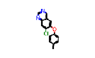 Cc1ccc(Oc2cc3cncnc3cc2Cl)cc1